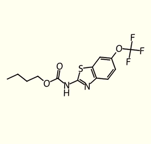 CCCCOC(=O)Nc1nc2ccc(OC(F)(F)F)cc2s1